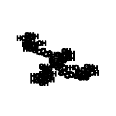 CC(CCCC(CCCC(C)C1CCC2C3CCC4CC(O[C@@H]5OC(CO)[C@@H](O[C@H]6OC(CO)[C@@H](O)C(O)[C@@H]6O)C(O)[C@@H]5O)CCC4(C)C3CCC12C)(CO[C@H]1OC(CO)[C@H](O[C@@H]2OC(CO)[C@H](O)C(O)[C@H]2O)C(O)[C@H]1O)CO[C@@H]1OC(CO)[C@@H](O[C@H]2OC(CO)[C@@H](O)C(O)[C@@H]2O)C(O)[C@@H]1O)C1CCC2C3CCC4CC(O[C@H]5OC(CO)[C@H](O[C@@H]6OC(CO)[C@H](O)C(O)[C@H]6O)C(O)[C@H]5O)CCC4(C)C3CCC12C